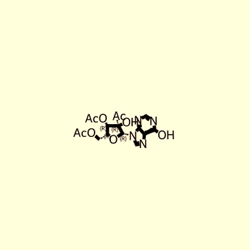 CC(=O)OC[C@H]1O[C@@H](n2cnc3c(O)ncnc32)[C@@](O)(C(C)=O)[C@@H]1OC(C)=O